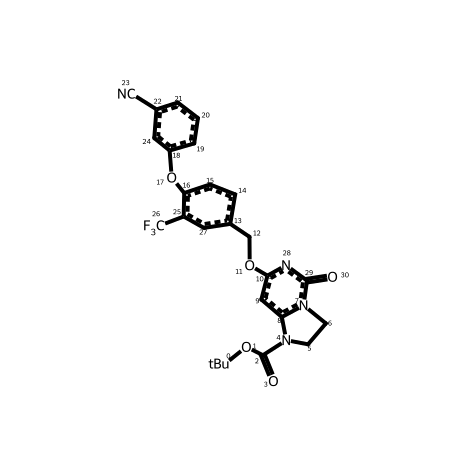 CC(C)(C)OC(=O)N1CCn2c1cc(OCc1ccc(Oc3cccc(C#N)c3)c(C(F)(F)F)c1)nc2=O